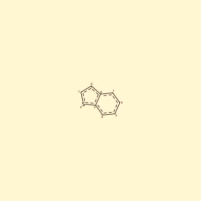 [c]1csc2[c]cccc12